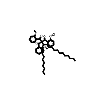 CCCCCCCCCCCCC(CCCCCCCCCC)C(C(=O)c1ccccc1OC)(C(=O)c1ccccc1OC)C(=O)c1ccccc1OCl